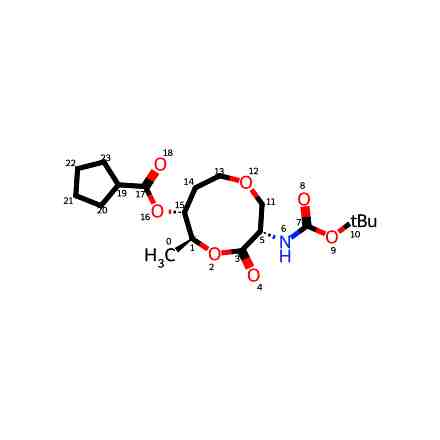 C[C@@H]1OC(=O)[C@@H](NC(=O)OC(C)(C)C)COCC[C@H]1OC(=O)C1CCCC1